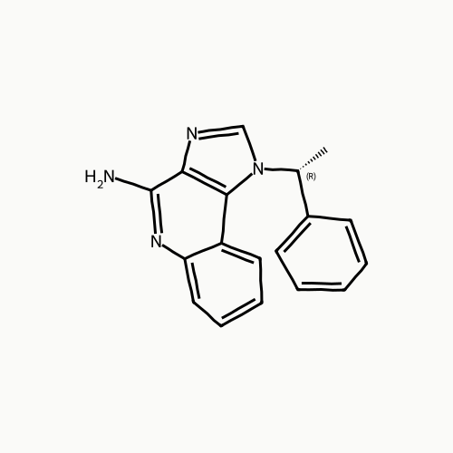 C[C@H](c1ccccc1)n1cnc2c(N)nc3ccccc3c21